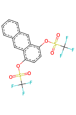 O=S(=O)(Oc1ccc(OS(=O)(=O)C(F)(F)F)c2cc3ccccc3cc12)C(F)(F)F